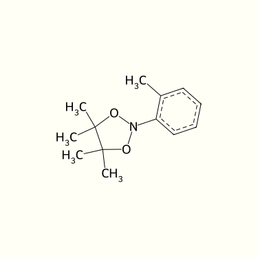 Cc1ccccc1N1OC(C)(C)C(C)(C)O1